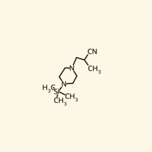 CC(C#N)CN1CCN([Si](C)(C)C)CC1